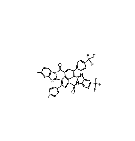 Cc1ccc(-c2cc3c(=O)n4c5ccc(C(F)(F)F)cc5nc4c4c(-c5ccc(C(F)(F)F)cc5)cc5c(=O)n6c7ccc(C)cc7nc6c2c5c34)cc1